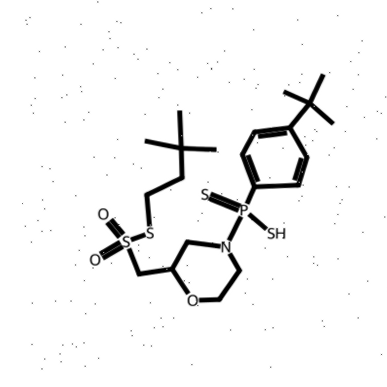 CC(C)(C)CCSS(=O)(=O)CC1CN(P(=S)(S)c2ccc(C(C)(C)C)cc2)CCO1